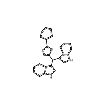 c1ccc(-c2nc(C(c3c[nH]c4ccccc34)c3c[nH]c4ccccc34)cs2)cc1